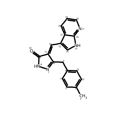 Cc1ccc(CC2=NNC(=O)C2=Cc2c[nH]c3ncccc23)cc1